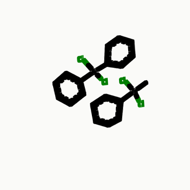 C[Si](Cl)(Cl)c1ccccc1.Cl[Si](Cl)(c1ccccc1)c1ccccc1